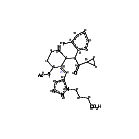 CC(=O)SC1CCNC(C(C(=O)C2CC2)c2ccccc2F)/C1=C/c1cnnn1CCCC(=O)O